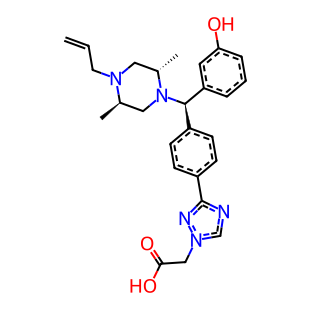 C=CCN1C[C@H](C)N([C@H](c2ccc(-c3ncn(CC(=O)O)n3)cc2)c2cccc(O)c2)C[C@H]1C